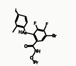 Cc1cc(I)ccc1[AsH]c1c(C(=O)NOC(C)C)cc(Br)c(F)c1F